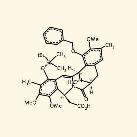 COc1c(C)cc2c(c1OCc1ccccc1)[C@@H]1C3=Cc4c(O[Si](C)(C)C(C)(C)C)c(C)c(OC)c(OC)c4[C@H](CC(=O)O)N3C(=O)[C@H](C2)N1C